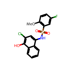 COc1ccc(F)cc1S(=O)(=O)Nc1cc(Cl)c(O)c2ccccc12